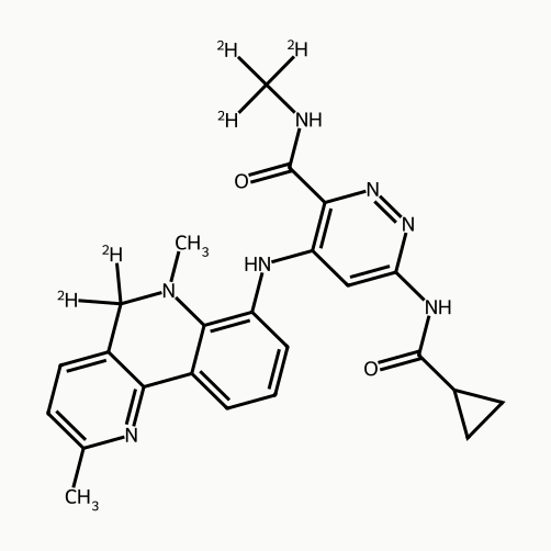 [2H]C([2H])([2H])NC(=O)c1nnc(NC(=O)C2CC2)cc1Nc1cccc2c1N(C)C([2H])([2H])c1ccc(C)nc1-2